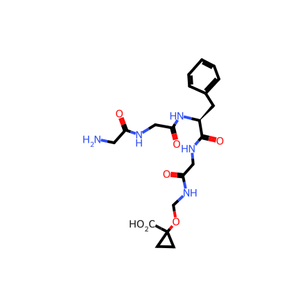 NCC(=O)NCC(=O)N[C@@H](Cc1ccccc1)C(=O)NCC(=O)NCOC1(C(=O)O)CC1